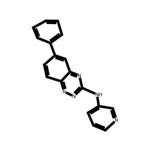 c1ccc(-c2ccc3nnc(Nc4cccnc4)nc3c2)cc1